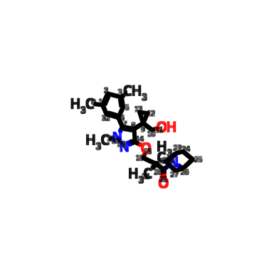 Cc1cc(C)cc(-c2c(C3(CO)CC3)c(OCC(C)(C)C(=O)N3C4CCC3CC4)nn2C)c1